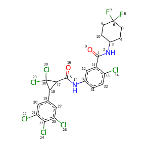 O=C(NC1CCC(F)(F)CC1)c1cc(NC(=O)C2C(c3cc(Cl)c(Cl)c(Cl)c3)C2(Cl)Cl)ccc1Cl